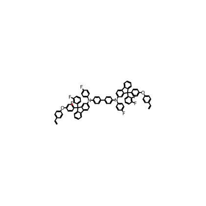 C=Cc1ccc(Oc2ccc(C3(c4cccc(F)c4F)c4ccccc4-c4ccc(N(c5ccc(F)cc5)c5ccc(-c6ccc(N(c7ccc(F)cc7)c7ccc8c(c7)C(c7ccc(Oc9ccc(C=C)cc9)cc7)(c7cccc(F)c7F)c7ccccc7-8)cc6)cc5)cc43)cc2)cc1